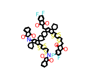 O=C1C(=CC2=CC3=C(c4sc5c(sc6cc(C=C7C(=O)c8cc(F)c(F)cc8C7=O)sc65)c4C34CCCCC4)C23CCC2(CC3)CCC3(CC2)C2=C(c4sc5c(sc6cc(N=c7c(=O)c8ccccc8c7=O)sc65)c43)C3(CCCCC3)C(N=c3c(=O)c4ccccc4c3=O)=C2)C(=O)c2cc(F)c(F)cc21